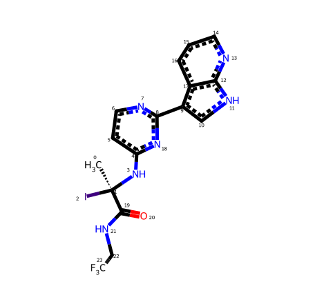 C[C@](I)(Nc1ccnc(-c2c[nH]c3ncccc23)n1)C(=O)NCC(F)(F)F